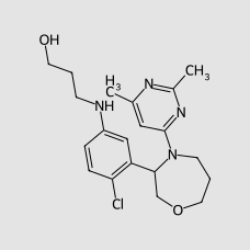 Cc1cc(N2CCCOCC2c2cc(NCCCO)ccc2Cl)nc(C)n1